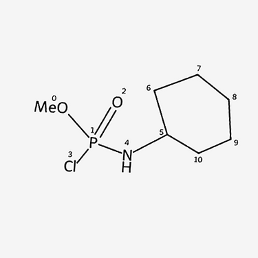 COP(=O)(Cl)NC1CCCCC1